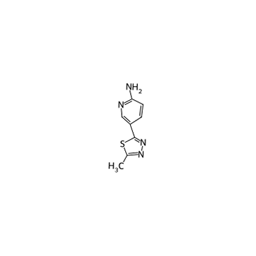 Cc1nnc(-c2ccc(N)nc2)s1